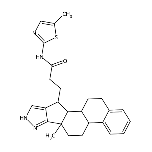 Cc1cnc(NC(=O)CCC2c3c[nH]nc3C3(C)CCC4c5ccccc5CCC4C23)s1